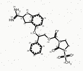 CS(=O)(=O)N1CCN(C(=O)OCC(Oc2cccc3c2CC(C(=N)N)S3)c2ccccc2)C1=O